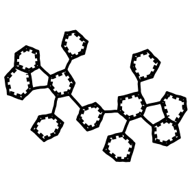 c1ccc(-c2cc(-c3cccc(-c4cc(-c5ccccc5)c5c(c4-c4ccccc4)-c4cccc6cccc-5c46)c3)c(-c3ccccc3)c3c2-c2cccc4cccc-3c24)cc1